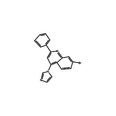 Brc1ccc2c(-n3ccnc3)cc(-c3ccccc3)nc2c1